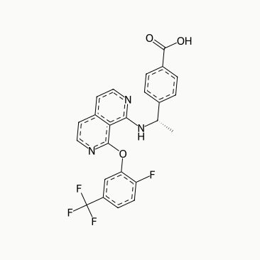 C[C@H](Nc1nccc2ccnc(Oc3cc(C(F)(F)F)ccc3F)c12)c1ccc(C(=O)O)cc1